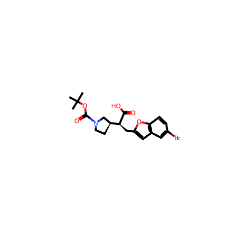 CC(C)(C)OC(=O)N1CC[C@H]([C@H](Cc2cc3cc(Br)ccc3o2)C(=O)O)C1